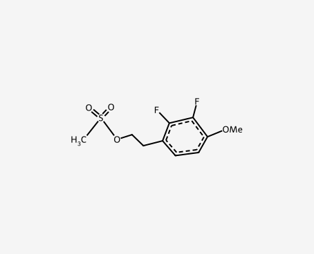 COc1ccc(CCOS(C)(=O)=O)c(F)c1F